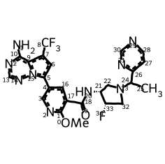 COc1ncc(-c2cc(C(F)(F)F)c3c(N)ncnn23)cc1C(=O)N[C@@H]1CN(C(C)c2ccncn2)C[C@@H]1F